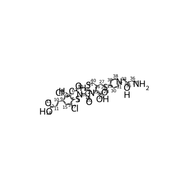 CC(=O)N(Sc1cc(Cl)c(C=CC(=O)O)cc1Cl)C1C(=O)N2C(C(=O)O)=C(CSc3cc[n+](CC(O)CN)cc3)CS[C@H]12